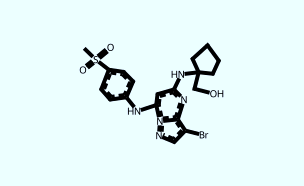 CS(=O)(=O)c1ccc(Nc2cc(NC3(CO)CCCC3)nc3c(Br)cnn23)cc1